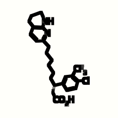 O=C(O)C[C@H](CCCCCCc1ccc2c(n1)NCCC2)c1ccc(Cl)c(C(F)(F)F)c1